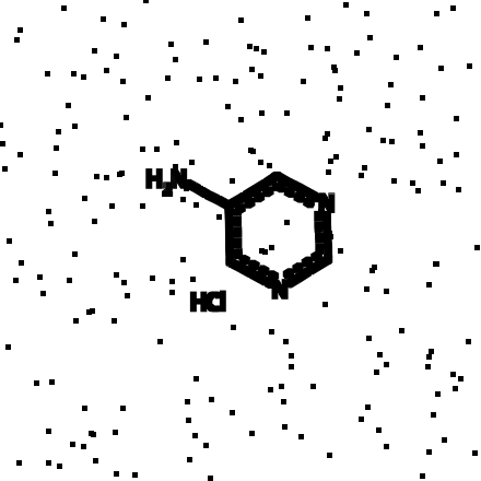 Cl.Nc1cncnc1